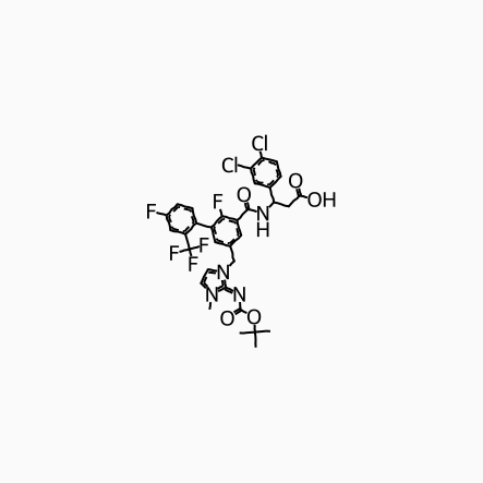 Cn1ccn(Cc2cc(C(=O)NC(CC(=O)O)c3ccc(Cl)c(Cl)c3)c(F)c(-c3ccc(F)cc3C(F)(F)F)c2)c1=NC(=O)OC(C)(C)C